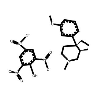 CC[C@@]1(c2cccc(OC)c2)CCN(C)C[C@@H]1C.O=[N+]([O-])c1cc([N+](=O)[O-])c(O)c([N+](=O)[O-])c1